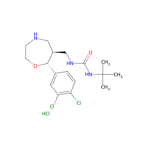 CC(C)(C)NC(=O)NC[C@@H]1CNCCO[C@H]1c1ccc(Cl)c(Cl)c1.Cl